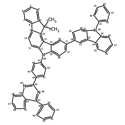 CC1(C)c2ccccc2-c2ccc3c(c21)c1cc(-c2ccc4c(c2)c2ccccc2n4-c2ccccc2)ccc1n3-c1ccc(-c2nc(-c3ccccc3)c3ccccc3n2)cc1